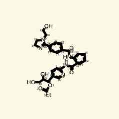 CCC(=O)OC(c1ccc(NC(=O)c2ccccc2NC(=O)c2ccc(C3=NCCN3CCO)cc2)nc1)C(O)CO